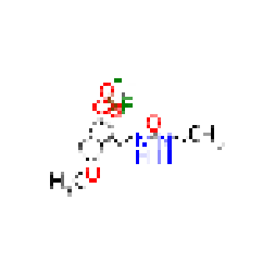 CCCNC(=O)NCCc1cc(OS(=O)(=O)C(F)(F)F)cc2ccc(OC)cc12